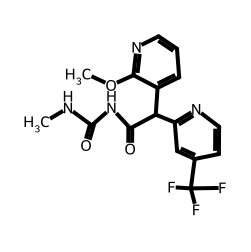 CNC(=O)NC(=O)C(c1cc(C(F)(F)F)ccn1)c1cccnc1OC